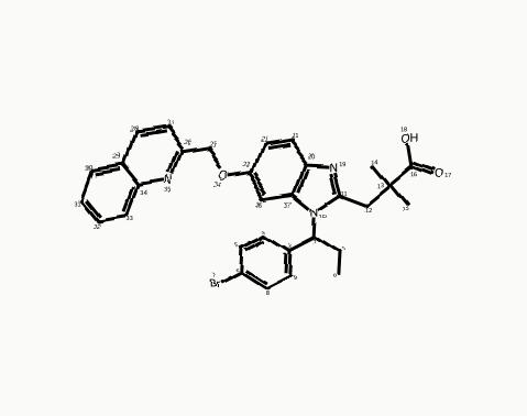 CCC(c1ccc(Br)cc1)n1c(CC(C)(C)C(=O)O)nc2ccc(OCc3ccc4ccccc4n3)cc21